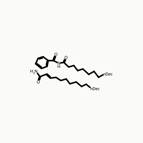 CCCCCCCCCCCCCCCCC/C=C/C(N)=O.CCCCCCCCCCCCCCCCCC(=O)NC(=O)c1ccccc1